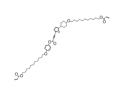 C=CC(=O)OCCCCCCCCCCCOc1ccc(OC(=O)C#Cc2ccc(C3CCC(OCCCCCCCCCCCOC(=O)C=C)CC3)s2)cc1